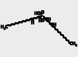 CCCCCCCCCCCCCCNCCCNC(=O)C[C@H](NCCCNCCCCCCCCCCCCCC)C(=O)O